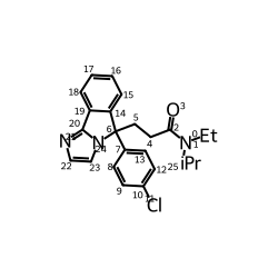 CCN(C(=O)CCC1(c2ccc(Cl)cc2)c2ccccc2-c2nccn21)C(C)C